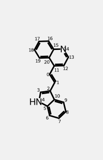 C(=Cc1c[nH]c2ccccc12)c1ccnc2ccccc12